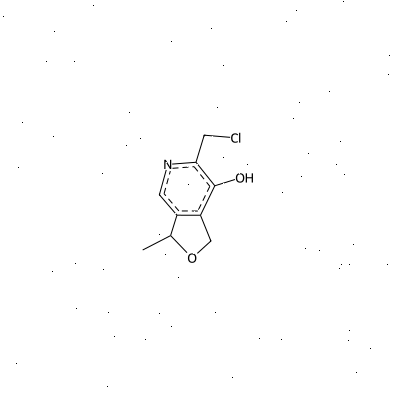 CC1OCc2c1cnc(CCl)c2O